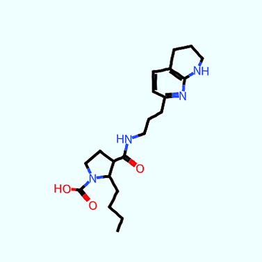 CCCCC1C(C(=O)NCCCc2ccc3c(n2)NCCC3)CCN1C(=O)O